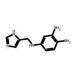 Bc1ccc(NCc2cnc[nH]2)cc1B